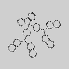 C1=C(N(c2ccc3ccccc3c2)c2ccc3ccccc3c2)CC=C(C2(C3=CCC(N(c4ccc5ccccc5c4)c4ccc5ccccc5c4)=CC3)c3ccccc3-c3ccccc32)C1